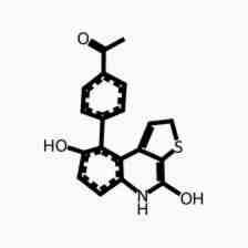 CC(=O)c1ccc(-c2c(O)ccc3c2C2=CCSC2=C(O)N3)cc1